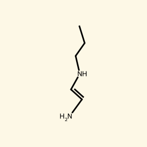 CCCNC=CN